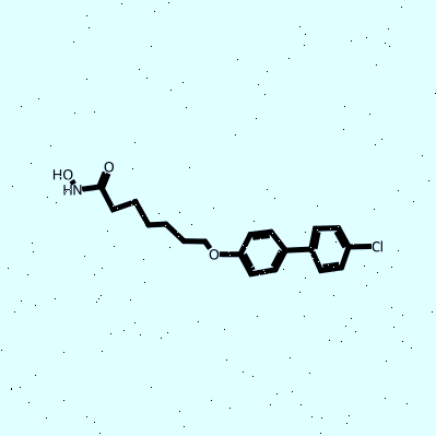 O=C(CCCCCCOc1ccc(-c2ccc(Cl)cc2)cc1)NO